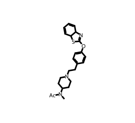 CC(=O)N(C)C1CCN(CCc2ccc(OC3=NC4C=CC=CC4S3)cc2)CC1